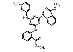 COC(=O)c1ccccc1Nc1nc(Nc2cccc(C)c2)nc(Nc2ccccc2C(=O)OC)n1